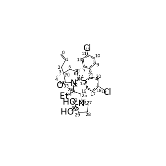 C=CC[C@@]1(C)C[C@H](c2cccc(Cl)c2)[C@@H](c2ccc(Cl)cc2)N([C@@H](CC)CN2CCCS2(O)O)C1=O